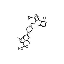 Cn1cc(C(=O)O)c2c(F)cc(N3CCN(CCc4c(-c5c(Cl)cccc5Cl)noc4C4CC4)CC3)cc21